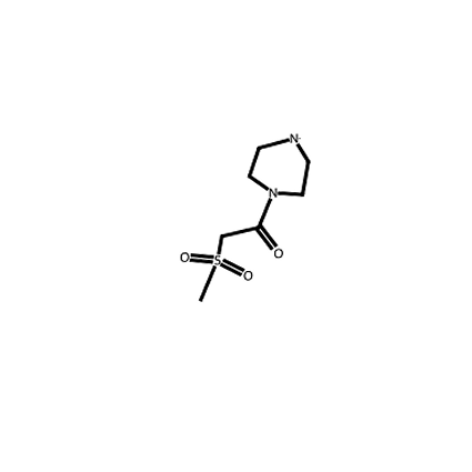 CS(=O)(=O)CC(=O)N1CC[N]CC1